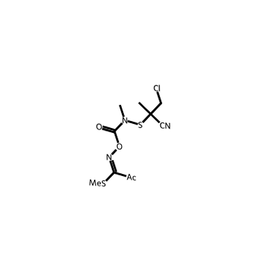 CSC(=NOC(=O)N(C)SC(C)(C#N)CCl)C(C)=O